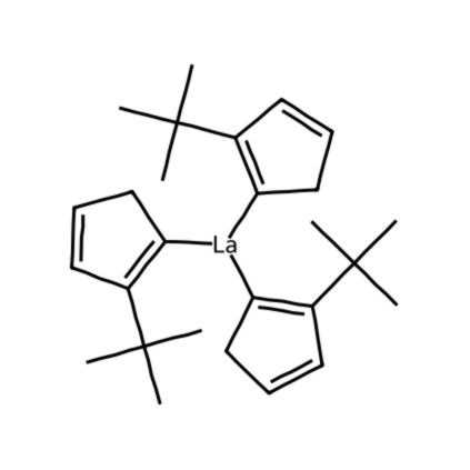 CC(C)(C)C1=[C]([La]([C]2=C(C(C)(C)C)C=CC2)[C]2=C(C(C)(C)C)C=CC2)CC=C1